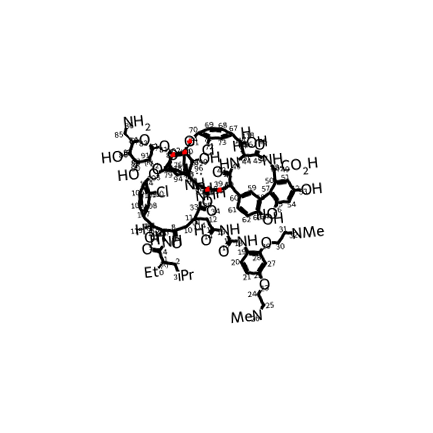 CC[C@H](CC(C)C)C(=O)N[C@H]1C(=O)C[C@@H](CC(=O)NC(=O)Nc2ccc(OCCNC)cc2OCCNC)C(=O)N[C@H]2C(=O)C[C@H]3C(=O)N[C@H](C(=O)N[C@H](C(=O)O)c4cc(O)cc(O)c4-c4cc3ccc4O)[C@H](O)c3ccc(c(Cl)c3)Oc3cc2cc(c3O[C@@H]2O[C@H](CN)[C@@H](O)[C@H](O)[C@H]2O[C@H]2C[C@](C)(N)[C@H](O)[C@H](C)O2)Oc2ccc(cc2Cl)[C@H]1O